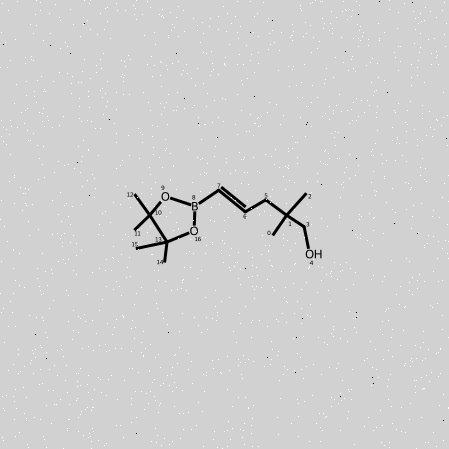 CC(C)(CO)CC=CB1OC(C)(C)C(C)(C)O1